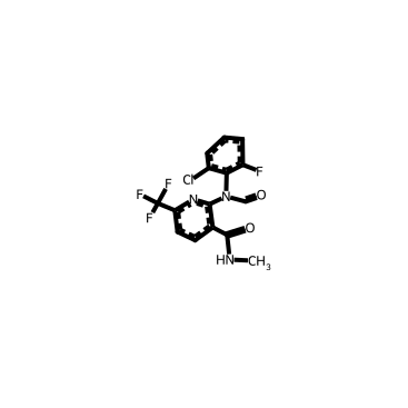 CNC(=O)c1ccc(C(F)(F)F)nc1N(C=O)c1c(F)cccc1Cl